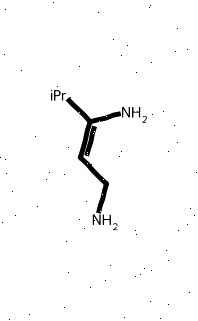 CC(C)C(N)=CCN